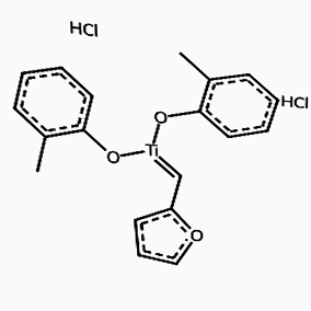 Cc1ccccc1[O][Ti](=[CH]c1ccco1)[O]c1ccccc1C.Cl.Cl